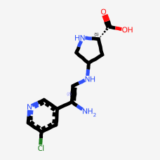 N/C(=C\NC1CN[C@H](C(=O)O)C1)c1cncc(Cl)c1